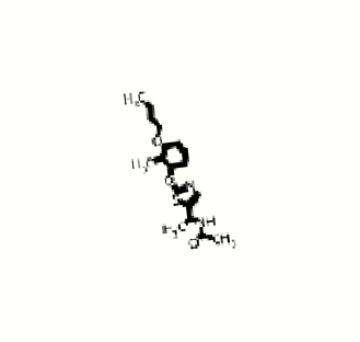 CCCCOc1cccc(Oc2ncc(C(C)NC(C)=O)s2)c1C